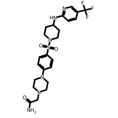 NC(=O)CN1CCN(c2ccc(S(=O)(=O)N3CCC(Nc4ccc(C(F)(F)F)cn4)CC3)cc2)CC1